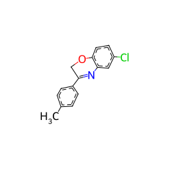 Cc1ccc(C2=Nc3cc(Cl)ccc3OC2)cc1